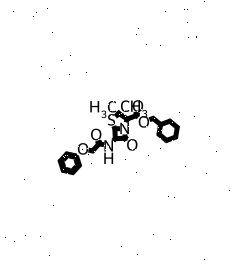 CC1(C)SC2C(NC(=O)COc3ccccc3)C(=O)N2C1C(=O)OCC1CCCCC1